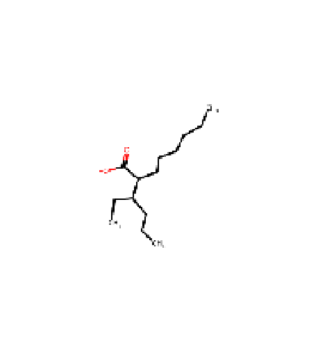 CCCCCCC(C(=O)O)C(CC)CCC